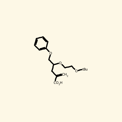 C=C(CC(COc1ccccc1)OCCOC(C)(C)C)C(=O)O